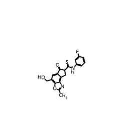 Cc1nc2c3c(cc(CO)c2o1)C(=O)C(C(=S)Nc1cccc(F)c1)C3